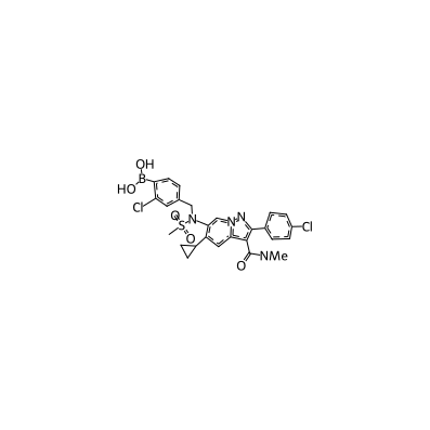 CNC(=O)c1c(-c2ccc(Cl)cc2)nn2cc(N(Cc3ccc(B(O)O)c(Cl)c3)S(C)(=O)=O)c(C3CC3)cc12